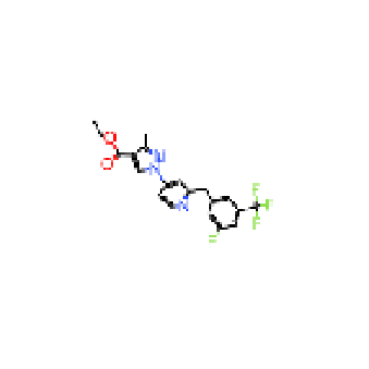 CCOC(=O)c1cn(-c2ccnc(Cc3cc(F)cc(C(F)(F)F)c3)c2)nc1C